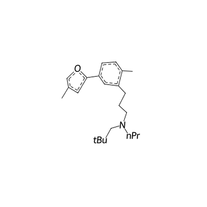 CCCN(CCCc1cc(-c2cc(C)co2)ccc1C)CC(C)(C)C